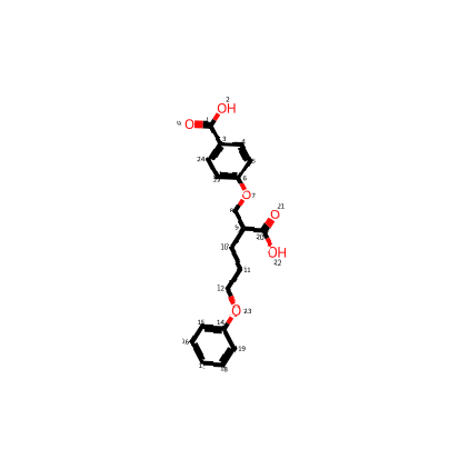 O=C(O)c1ccc(OCC(CCCOc2ccccc2)C(=O)O)cc1